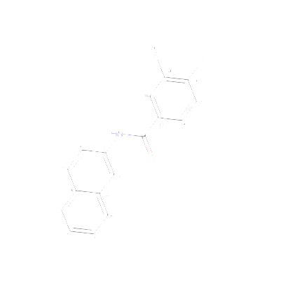 O=C(Nc1ccc2ccccc2c1)c1ccc(F)c(F)c1